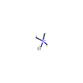 CC[N+](C)(C)C